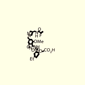 C=C(F)C(=O)NCc1cnn(Cc2cc(OC)c3c(NS(=O)(=O)c4cc(CC)ccc4OCC(=O)O)noc3c2)c1